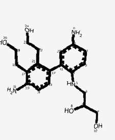 Nc1ccc(NCC(O)CO)c(-c2ccc(N)c(CCO)c2CCO)c1